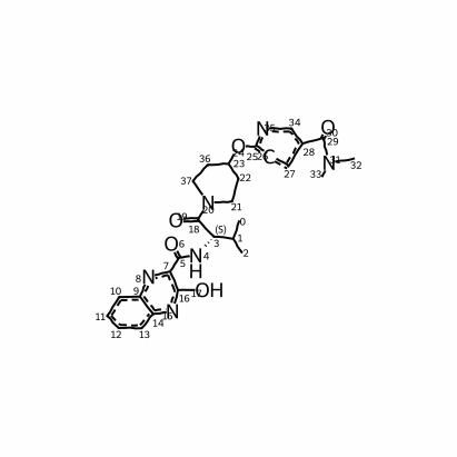 CC(C)[C@H](NC(=O)c1nc2ccccc2nc1O)C(=O)N1CCC(Oc2ccc(C(=O)N(C)C)cn2)CC1